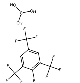 FC(F)(F)c1cc(C(F)(F)F)[c]([K])c(C(F)(F)F)c1.OB(O)O